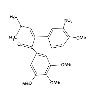 COc1ccc(C(=CN(C)C)C(=O)c2cc(OC)c(OC)c(OC)c2)cc1[N+](=O)[O-]